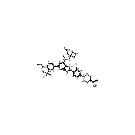 CCOc1ncc(-c2cc(N(C)CC3(COC)CCC3)c3[nH]c(-c4ccc(N5CCC(C(=O)O)CC5)cc4F)nc3n2)cc1C(F)(F)F